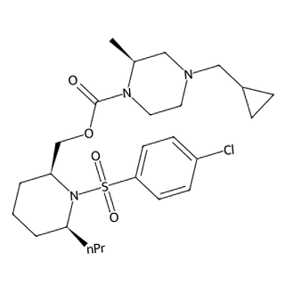 CCC[C@H]1CCC[C@@H](COC(=O)N2CCN(CC3CC3)C[C@@H]2C)N1S(=O)(=O)c1ccc(Cl)cc1